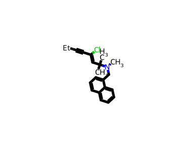 CCC#CC(Cl)=CC(C)(C)N(C)Cc1cccc2ccccc12